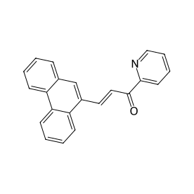 O=C(C=Cc1cc2ccccc2c2ccccc12)c1ccccn1